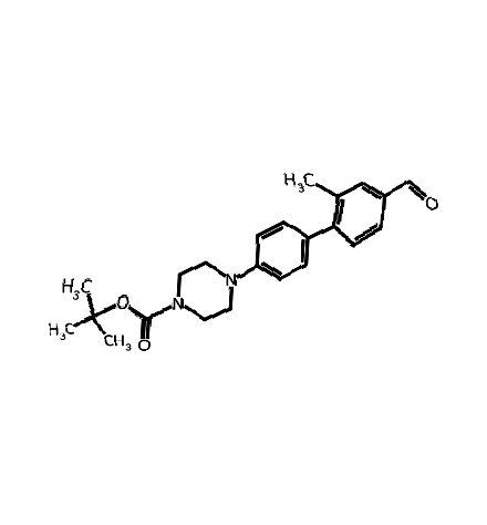 Cc1cc(C=O)ccc1-c1ccc(N2CCN(C(=O)OC(C)(C)C)CC2)cc1